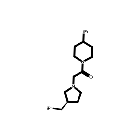 CC(C)C[C@@H]1CCN(CC(=O)N2CCC(C(C)C)CC2)C1